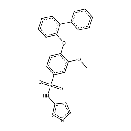 COc1cc(S(=O)(=O)Nc2ncns2)ccc1Oc1ccccc1-c1ccccc1